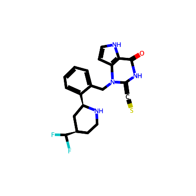 O=C1NC(=C=S)N(Cc2ccccc2[C@@H]2C[C@H](C(F)F)CCN2)c2cc[nH]c21